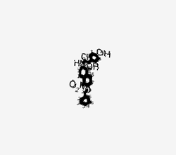 CC(Cc1ccc(O)cc1)NC1CCc2c(ccc(OCc3ccccc3)c2[N+](=O)[O-])C1O